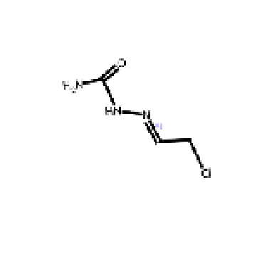 NC(=O)N/N=C/CCl